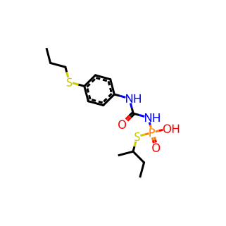 CCCSc1ccc(NC(=O)NP(=O)(O)SC(C)CC)cc1